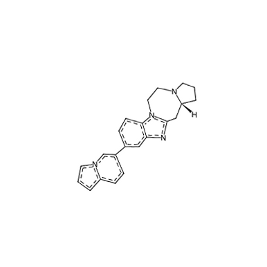 c1cc2ccc(-c3ccc4c(c3)nc3n4CCN4CCC[C@@H]4C3)cn2c1